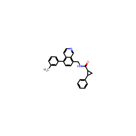 Cc1cccc(-c2ccc(CNC(=O)C3CC3c3ccccc3)c3cnccc23)c1